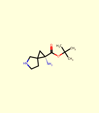 CC(C)(C)OC(=O)[C@]1(N)CC12CCNC2